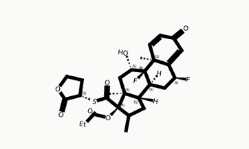 CCC(=O)O[C@]1(C(=O)S[C@H]2CCOC2=O)C(C)C[C@H]2[C@@H]3C[C@H](F)C4=CC(=O)C=C[C@]4(C)[C@@]3(F)[C@@H](O)C[C@@]21C